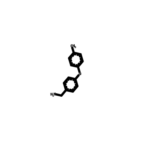 Cc1ccc(Oc2ccc(CN)cc2)cc1